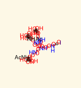 CC(=O)N[C@H]1[C@H](OCCOCCNC(=O)CCOCC(COCCC(=O)CNCCOCCO[C@H]2C[C@@H](O)[C@@H](O)[C@@H](CO)O2)(COCCC(=O)NCCOCCO[C@@H]2O[C@H](CO)[C@H](O)[C@H](O)[C@H]2NC(C)=O)NC(=O)CCOCCOCCNC(=O)Cc2ccc(OI)cc2)O[C@H](CO)[C@H](O)[C@@H]1O